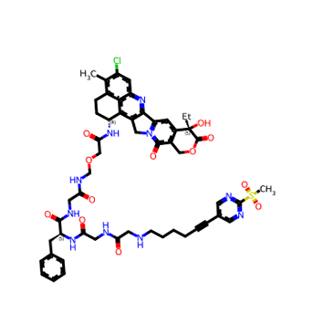 CC[C@@]1(O)C(=O)OCc2c1cc1n(c2=O)Cc2c-1nc1cc(Cl)c(C)c3c1c2[C@H](NC(=O)COCNC(=O)CNC(=O)[C@H](Cc1ccccc1)NC(=O)CNC(=O)CNCCCCC#Cc1cnc(S(C)(=O)=O)nc1)CC3